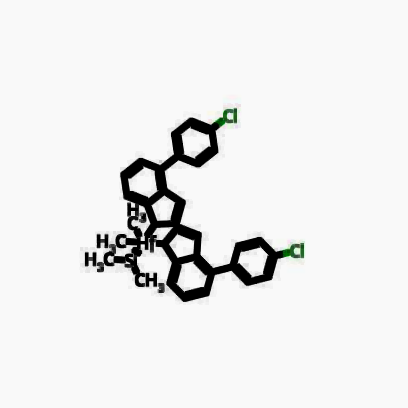 C[Si](C)=[Hf]([CH3])([CH3])([CH]1C=Cc2c(-c3ccc(Cl)cc3)cccc21)[CH]1C=Cc2c(-c3ccc(Cl)cc3)cccc21